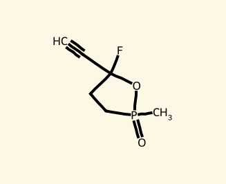 C#CC1(F)CCP(C)(=O)O1